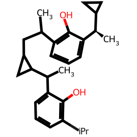 CC(C)c1cccc(C(C)C2CC2CC(C)c2cccc([C@H](C)C3CC3)c2O)c1O